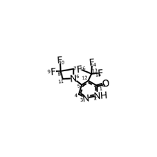 O=c1[nH]ncc(N2CC(F)(F)C2)c1C(F)(F)F